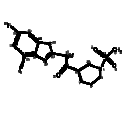 CS(=O)(=O)N1CCCC(C(=O)Nc2nc3c(F)cc(F)cc3s2)C1